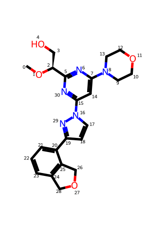 CO[C@@H](CO)c1nc(N2CCOCC2)cc(-n2ccc(-c3cccc4c3COC4)n2)n1